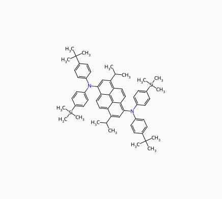 CC(C)c1cc(N(c2ccc(C(C)(C)C)cc2)c2ccc([Si](C)(C)C)cc2)c2ccc3c(C(C)C)cc(N(c4ccc(C(C)(C)C)cc4)c4ccc([Si](C)(C)C)cc4)c4ccc1c2c34